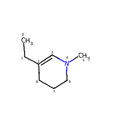 CCC1=CN(C)CCC1